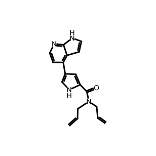 C=CCN(CC=C)C(=O)c1cc(-c2ccnc3[nH]ccc23)c[nH]1